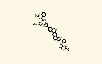 COC[C@H]1C[C@@H](c2ncc(-c3ccc4c(c3)COc3cc5c(ccc6cc([C@@H]7CC[C@H](C)N7C(=O)[C@@H](NC(=O)OC)C(C)C)[nH]c65)cc3-4)[nH]2)N(C(=O)[C@H](NC(=O)OC)c2ccccc2)C1